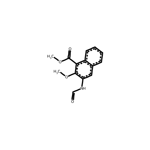 COC(=O)c1c(OC)c(NC=O)cc2ccccc12